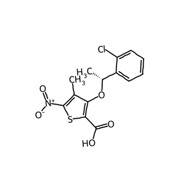 Cc1c([N+](=O)[O-])sc(C(=O)O)c1O[C@H](C)c1ccccc1Cl